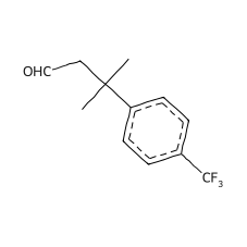 CC(C)(CC=O)c1ccc(C(F)(F)F)cc1